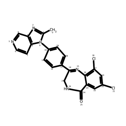 Cc1nc2cnccc2n1-c1ccc(C2=Nc3c(Cl)cc(Cl)cc3C(=O)NC2)cc1